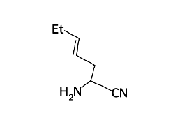 CC/C=C/CC(N)C#N